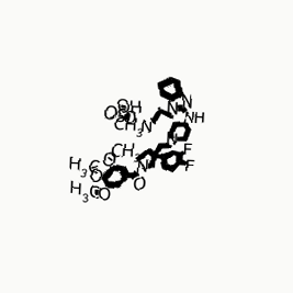 COc1cc(C(=O)N2CCC(CCN3CCC(Nc4nc5ccccc5n4CCC#N)CC3)(c3ccc(F)c(F)c3)C2)cc(OC)c1OC.CS(=O)(=O)O